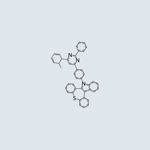 CC1C=CC=CC1c1cc(-c2ccc(-n3c4c(c5ccccc53)-c3ccccc3Sc3ccccc3-4)cc2)nc(-c2ccccc2)n1